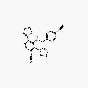 N#Cc1ccc(CNc2c(-c3cccs3)ncc(C#N)c2-c2ccoc2)cc1